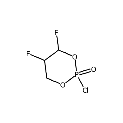 O=P1(Cl)OCC(F)C(F)O1